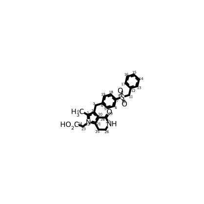 Cc1c(Cc2ccc(S(=O)(=O)Cc3ccccc3)cc2)c2c(n1CC(=O)O)CCNC2=O